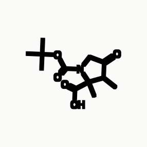 CC1C(=O)CN(C(=O)OC(C)(C)C)C1(C)C(=O)O